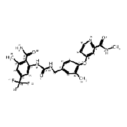 CNC(=O)c1cc(Oc2ccc(CNC(=O)Nc3cc(C(F)(F)F)cc(C)c3C(N)=O)cc2C)ccn1